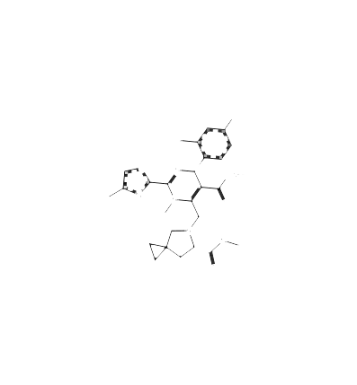 COC(=O)C1=C(CN2CC3(CC3)C[C@H]2C(=O)NC(C)C)N(C)C(c2nc(C)cs2)=N[C@H]1c1ccc(F)cc1Cl